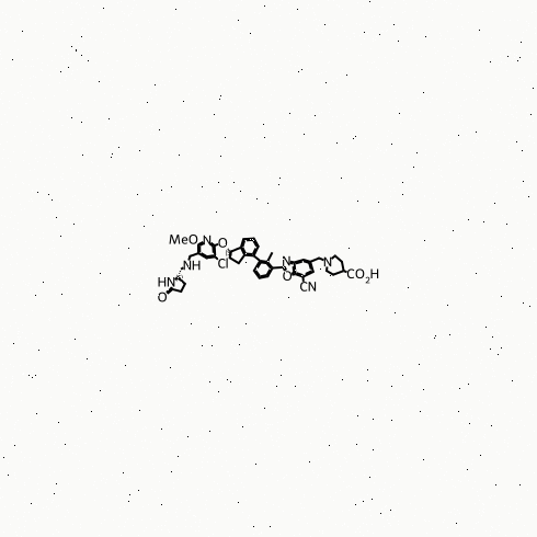 COc1nc(O[C@H]2CCc3c(-c4cccc(-c5nc6cc(CN7CCC(C(=O)O)CC7)cc(C#N)c6o5)c4C)cccc32)c(Cl)cc1CNC[C@@H]1CCC(=O)N1